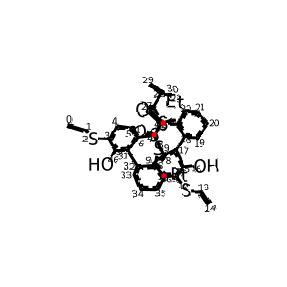 C=CSc1ccc(Sc2ccc(SC=C)c(O)c2-c2cccc(CC)c2SC(=O)C(=C)C)c(-c2cccc(CC)c2SC(=O)C(=C)C)c1O